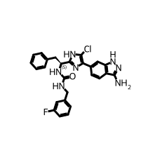 Nc1n[nH]c2cc(-c3nc([C@H](Cc4ccccc4)NC(=O)NCc4cccc(F)c4)[nH]c3Cl)ccc12